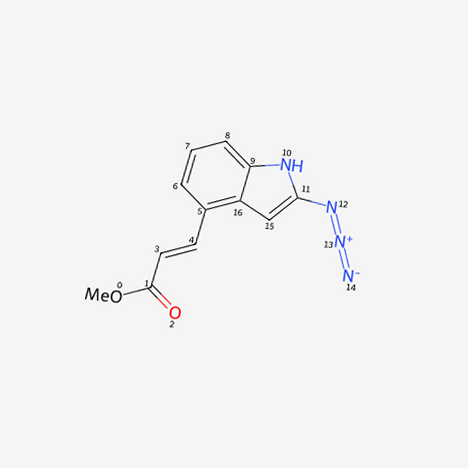 COC(=O)C=Cc1cccc2[nH]c(N=[N+]=[N-])cc12